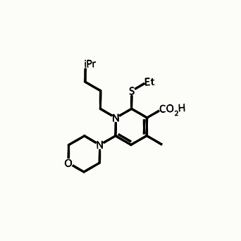 CCSC1C(C(=O)O)=C(C)C=C(N2CCOCC2)N1CCCC(C)C